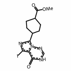 COC(=O)C1CCC(c2nc(I)c3c(=O)[nH]cnn23)CC1